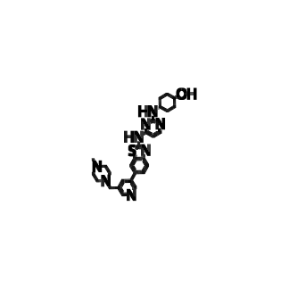 CN1CCN(Cc2cncc(-c3ccc4nc(Nc5ccnc(N[C@H]6CC[C@H](O)CC6)n5)sc4c3)c2)CC1